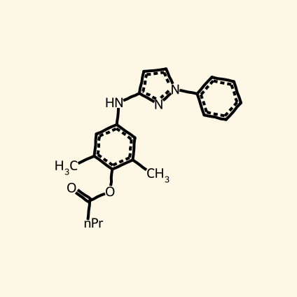 CCCC(=O)Oc1c(C)cc(Nc2ccn(-c3ccccc3)n2)cc1C